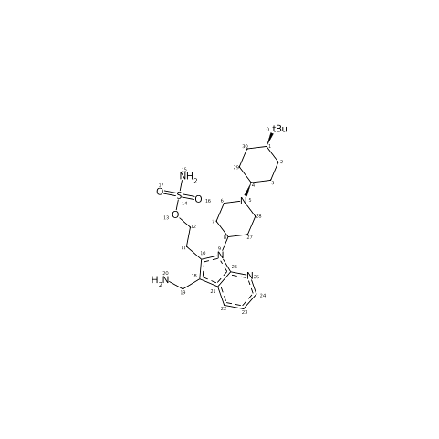 CC(C)(C)[C@H]1CC[C@@H](N2CCC(n3c(CCOS(N)(=O)=O)c(CN)c4cccnc43)CC2)CC1